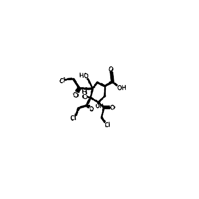 O=C(O)C1CC(O)(C(=O)CCl)C(O)(C(=O)CCl)C(O)(C(=O)CCl)C1